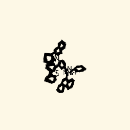 c1ccc(C2N=C(c3ccc(-n4c5ccccc5c5cc6ccccc6cc54)c(-c4cccc5c4sc4ccccc45)c3)N=C(c3cc4ccccc4c4ccccc34)N2)cc1